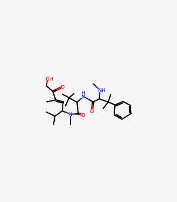 CNC(C(=O)NC(C(=O)N(C)C(C=C(C)C(=O)CO)C(C)C)C(C)(C)C)C(C)(C)c1ccccc1